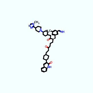 Cc1cc(C=N)cc(C[C@@H](CCCC(=O)CCC2CCC(c3cc4ccccc4[nH]c3=O)CC2)C(=O)CC2CCC(N3CCC(c4nncn4C)CC3)CC2)c1